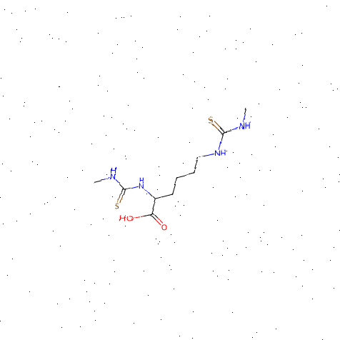 CNC(=S)NCCCCC(NC(=S)NC)C(=O)O